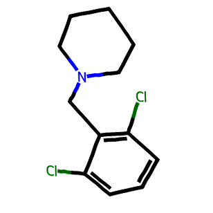 Clc1cccc(Cl)c1CN1CCCCC1